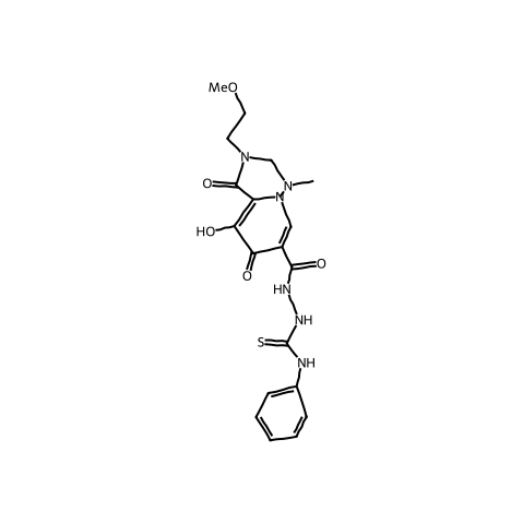 COCCN1CN(C)n2cc(C(=O)NNC(=S)Nc3ccccc3)c(=O)c(O)c2C1=O